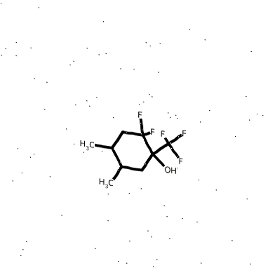 CC1CC(F)(F)C(O)(C(F)(F)F)CC1C